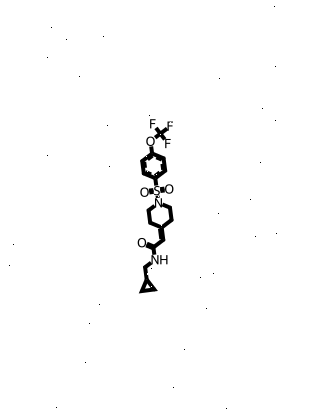 O=C(C=C1CCN(S(=O)(=O)c2ccc(OC(F)(F)F)cc2)CC1)NCC1CC1